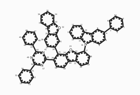 c1ccc(-c2ccc3c(c2)c2ccccc2n3-c2cccc3c2oc2c(-c4ccc5c(c4)oc4ccccc45)c(-c4nc(-c5ccccc5)nc(-c5ccccc5)n4)ccc23)cc1